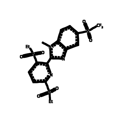 CCS(=O)(=O)c1ccc(S(=O)(=O)CC)c(-c2nc3cc(S(=O)(=O)C(F)(F)F)ccc3n2C)n1